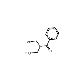 CCOC(=O)CN(CC(C)=O)C(=O)c1ccccc1